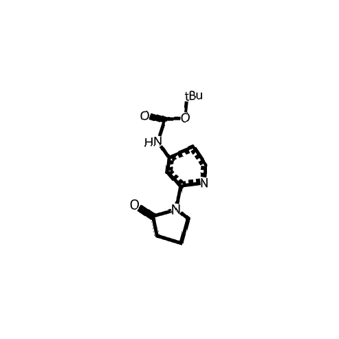 CC(C)(C)OC(=O)Nc1ccnc(N2CCCC2=O)c1